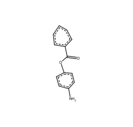 Nc1ccc(OC(=O)c2ccccc2)cc1